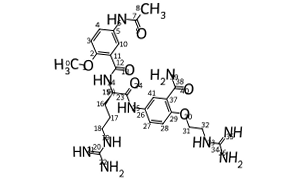 COc1ccc(NC(C)=O)cc1C(=O)N[C@H](CCCNC(=N)N)C(=O)Nc1ccc(OCCNC(=N)N)c(C(N)=O)c1